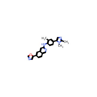 Cc1cc(-c2cnc(C)n2C)ccc1Nc1cc2cc(-c3cnco3)ccc2cn1